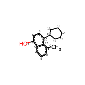 Cc1cccc2c(O)ccc(C3CCCCC3)c12